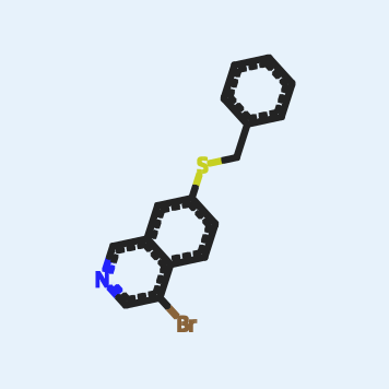 Brc1cncc2cc(SCc3ccccc3)ccc12